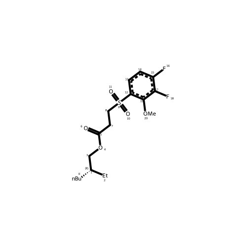 CCCC[C@@H](CC)COC(=O)CCS(=O)(=O)c1ccc(F)c(F)c1OC